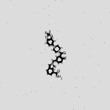 NC(=O)c1cccc2cn(Cc3ccc(F)c(C(=O)N4CCN(c5ccc6c(c5)OC(F)(F)O6)CC4)c3)nc12